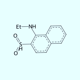 [CH2]CNc1c([SH](=O)=O)ccc2ccccc12